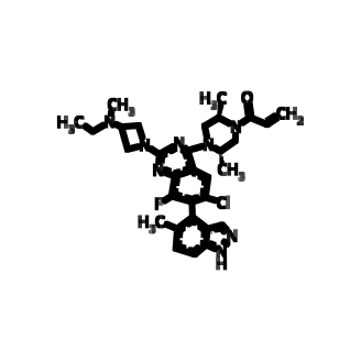 C=CC(=O)N1C[C@H](C)N(c2nc(N3CC(N(C)CC)C3)nc3c(F)c(-c4c(C)ccc5[nH]ncc45)c(Cl)cc23)C[C@H]1C